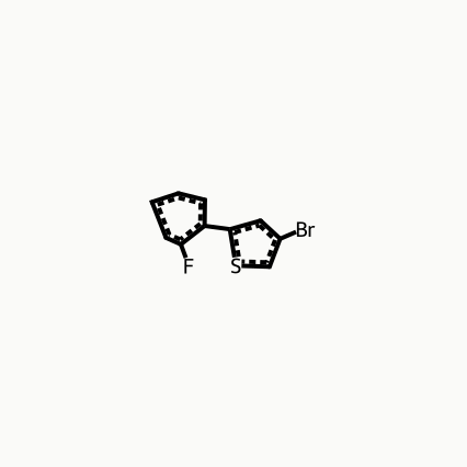 Fc1ccccc1-c1cc(Br)cs1